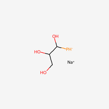 OCC(O)C(O)[PH-].[Na+]